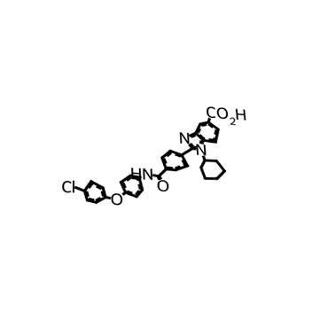 O=C(O)c1ccc2c(c1)nc(-c1ccc(C(=O)Nc3ccc(Oc4ccc(Cl)cc4)cc3)cc1)n2C1CCCCC1